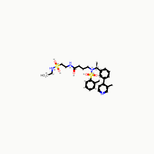 Cc1cnccc1-c1cccc([C@H](C)N(CCCC(=O)NCCS(=O)(=O)NCC(=O)O)S(=O)(=O)c2ccccc2C)c1